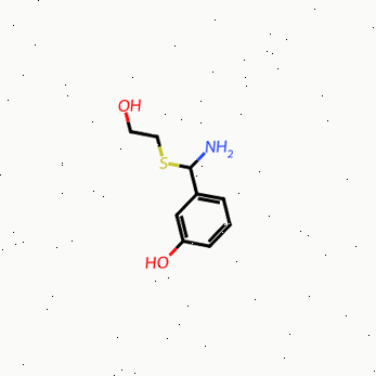 NC(SCCO)c1cccc(O)c1